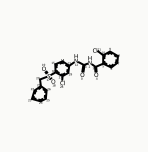 O=C(NC(=O)c1ccccc1Cl)Nc1ccc(S(=O)(=O)Cc2ccccc2)c(Cl)c1